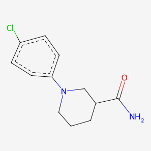 NC(=O)C1CCCN(c2ccc(Cl)cc2)C1